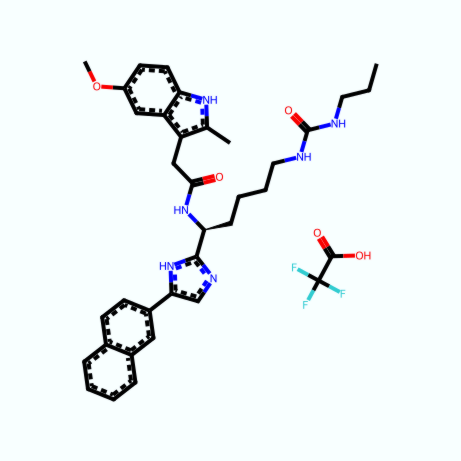 CCCNC(=O)NCCCC[C@H](NC(=O)Cc1c(C)[nH]c2ccc(OC)cc12)c1ncc(-c2ccc3ccccc3c2)[nH]1.O=C(O)C(F)(F)F